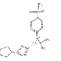 CC1(C)[C@H](c2ccc(S(N)(=O)=O)nc2)[C@H]1c1ncc(C2CCCC2)o1